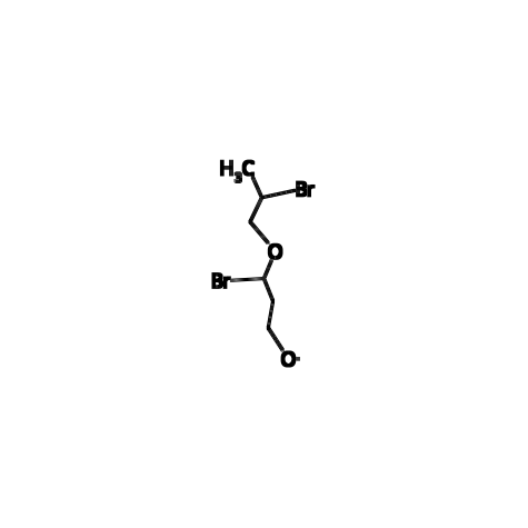 CC(Br)COC(Br)CC[O]